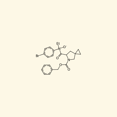 CC[N+]([O-])(C(=O)C1CC2(CC2)CN1C(=O)OCc1ccccc1)c1ccc(Br)cc1